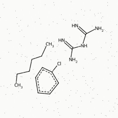 CCCCCC.Clc1ccccc1.N=C(N)NC(=N)N